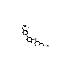 NCc1ccc(-c2ccnc(NC3CCCC(CCO)C3)c2)cn1